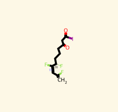 C=C(F)/C=C(/F)[C@@H](F)CCCC(=O)CC(=O)I